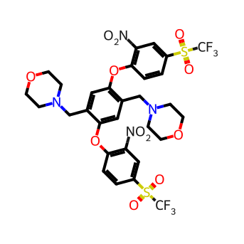 O=[N+]([O-])c1cc(S(=O)(=O)C(F)(F)F)ccc1Oc1cc(CN2CCOCC2)c(Oc2ccc(S(=O)(=O)C(F)(F)F)cc2[N+](=O)[O-])cc1CN1CCOCC1